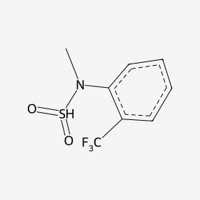 CN(c1ccccc1C(F)(F)F)[SH](=O)=O